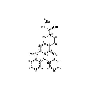 CSc1nc2c(c(=O)n1C(c1ccccc1)c1ccccc1)CCN(C(=O)OC(C)(C)C)C2